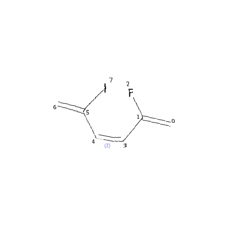 C=C(F)/C=C\C(=C)I